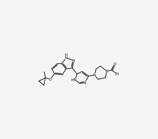 CCC(=O)N1CCN(C2=CC(c3n[nH]c4ccc(OC5(C)CC5)cc34)NC=N2)CC1